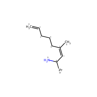 C=CCCC/C(C)=C\C(N)C(C)C